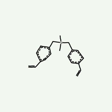 C=Cc1ccc(C[Si](C)(C)Cc2ccc(C=C)cc2)cc1